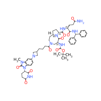 Cn1c(=O)n(C2CCC(=O)NC2=O)c2ccc(N3CC(CCCC(=O)N4CC[C@H]5CC[C@@H](C(=O)N[C@@H](CCC(N)=O)C(=O)NC(c6ccccc6)c6ccccc6)N5C(=O)[C@@H](NC(=O)OC(C)(C)C)C4)C3)cc21